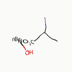 CC(I)C(=O)O.CCCCO